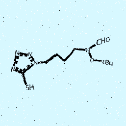 CC(C)(C)ON(C=O)CCCCn1nnnc1S